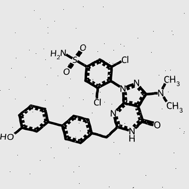 CN(C)c1nn(-c2c(Cl)cc(S(N)(=O)=O)cc2Cl)c2nc(Cc3ccc(-c4cccc(O)c4)cc3)[nH]c(=O)c12